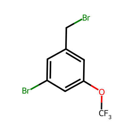 FC(F)(F)Oc1cc(Br)cc(CBr)c1